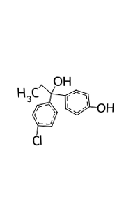 CCC(O)(c1ccc(O)cc1)c1ccc(Cl)cc1